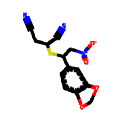 N#CCC(C#N)SC(C[N+](=O)[O-])c1ccc2c(c1)OCO2